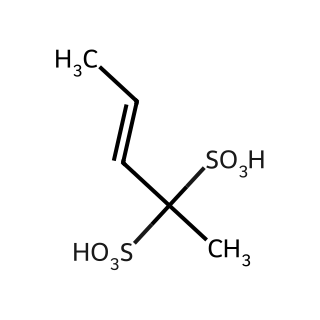 CC=CC(C)(S(=O)(=O)O)S(=O)(=O)O